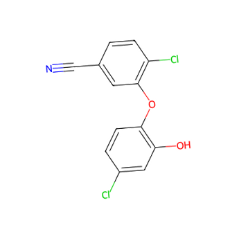 N#Cc1ccc(Cl)c(Oc2ccc(Cl)cc2O)c1